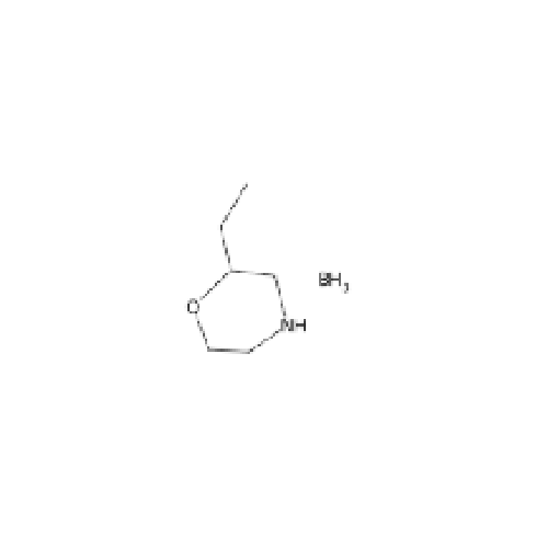 B.CCC1CNCCO1